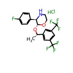 C[C@H](O[C@H]1OCCN[C@@H]1c1ccc(F)cc1)c1cc(C(F)(F)F)cc(C(F)(F)F)c1.Cl